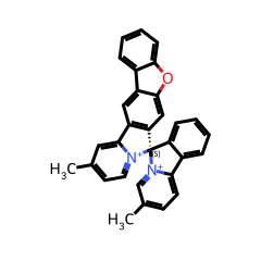 Cc1cc[n+]2c(c1)-c1cc3c(cc1[C@@]21c2ccccc2-c2ccc(C)c[n+]21)oc1ccccc13